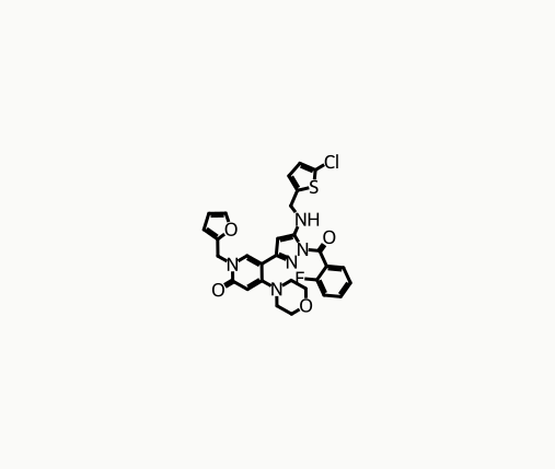 O=C(c1ccccc1F)n1nc(-c2cn(Cc3ccco3)c(=O)cc2N2CCOCC2)cc1NCc1ccc(Cl)s1